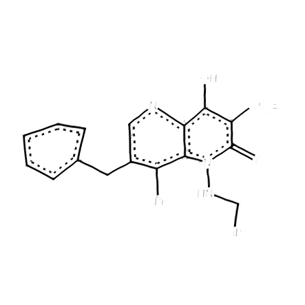 CCOC(=O)c1c(O)c2ncc(Cc3ccccc3)c(Br)c2n(NCC(C)C)c1=O